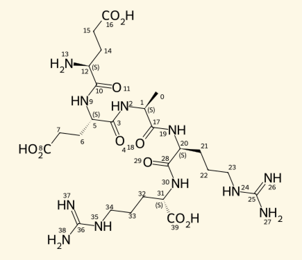 C[C@H](NC(=O)[C@H](CCC(=O)O)NC(=O)[C@@H](N)CCC(=O)O)C(=O)N[C@@H](CCCNC(=N)N)C(=O)N[C@@H](CCCNC(=N)N)C(=O)O